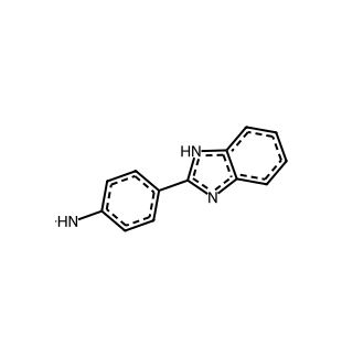 [NH]c1ccc(-c2nc3ccccc3[nH]2)cc1